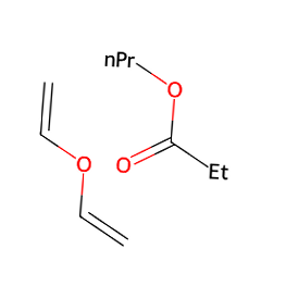 C=COC=C.CCCOC(=O)CC